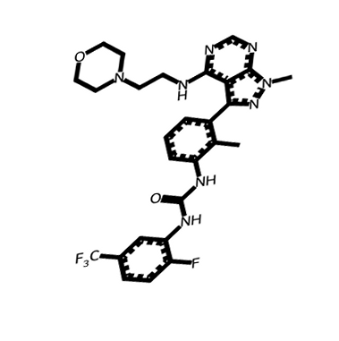 Cc1c(NC(=O)Nc2cc(C(F)(F)F)ccc2F)cccc1-c1nn(C)c2ncnc(NCCN3CCOCC3)c12